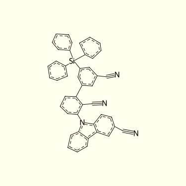 N#Cc1cc(-c2cccc(-n3c4ccccc4c4cc(C#N)ccc43)c2C#N)cc([Si](c2ccccc2)(c2ccccc2)c2ccccc2)c1